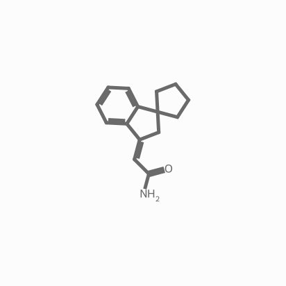 NC(=O)C=C1CC2(CCCC2)c2ccccc21